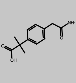 CC(C)(C(=O)O)c1ccc(CC([NH])=O)cc1